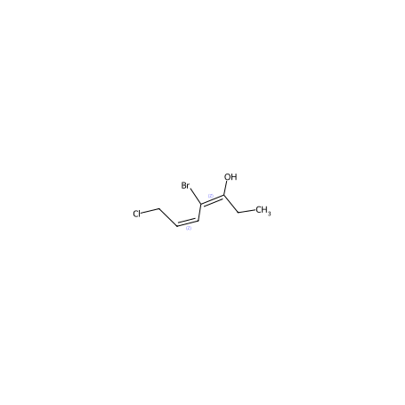 CC/C(O)=C(Br)\C=C/CCl